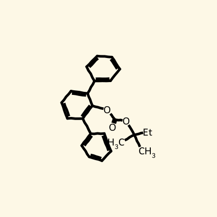 CCC(C)(C)OC(=O)Oc1c(-c2ccccc2)cccc1-c1ccccc1